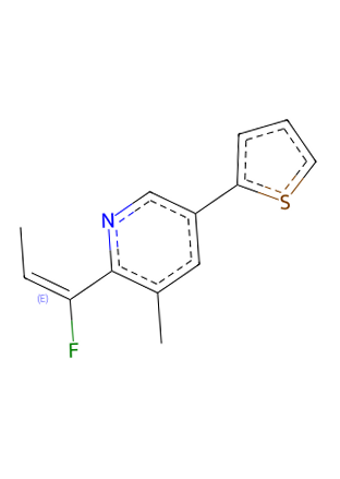 C/C=C(/F)c1ncc(-c2cccs2)cc1C